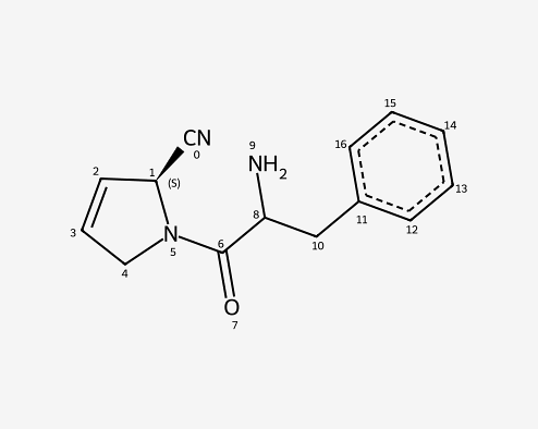 N#C[C@@H]1C=CCN1C(=O)C(N)Cc1ccccc1